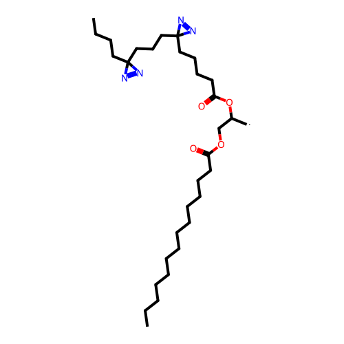 [CH2]C(COC(=O)CCCCCCCCCCCCC)OC(=O)CCCCC1(CCCC2(CCCC)N=N2)N=N1